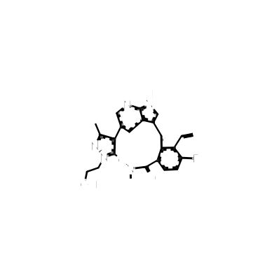 C=Cc1c(F)ccc2c1[C@@H](C)c1c[nH]c3ncc(cc13)-c1c(C)nn(CCO)c1CN(C)C2=O